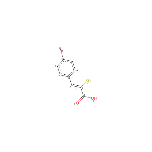 O=C(O)/C(S)=C/c1ccc(Br)cc1